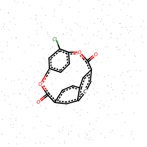 O=c1oc2ccc(oc(=O)c3ccc4cc1ccc4c3)c(Cl)c2